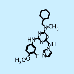 COc1ccc(Nc2nc(Nn3ccnc3)nc(N(C)CC3CCCCC3)n2)cc1F